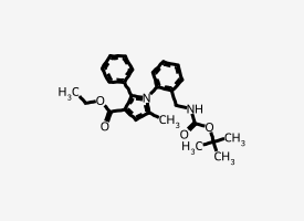 CCOC(=O)c1cc(C)n(-c2ccccc2CNC(=O)OC(C)(C)C)c1-c1ccccc1